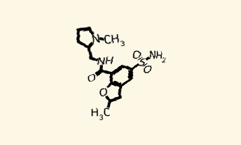 CC1Cc2cc(S(N)(=O)=O)cc(C(=O)NCC3CCCN3C)c2O1